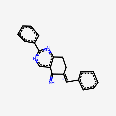 N=C1/C(=C/c2ccccc2)CCc2nc(-c3ccccc3)ncc21